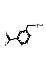 CCCCCCc1cccc(C(=S)S)c1